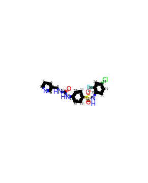 O=C(NCc1cccnc1)Nc1ccc(S(=O)(=O)Nc2ccc(Cl)cc2F)cc1